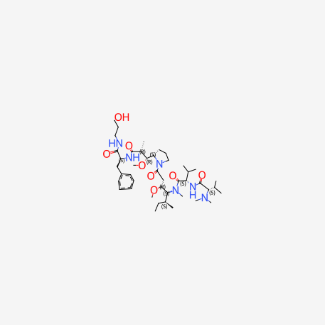 CC[C@H](C)[C@@H]([C@@H](CC(=O)N1CCC[C@H]1[C@H](OC)[C@@H](C)C(=O)N[C@@H](Cc1ccccc1)C(=O)NCCCO)OC)N(C)C(=O)[C@@H](NC(=O)[C@H](C(C)C)N(C)C)C(C)C